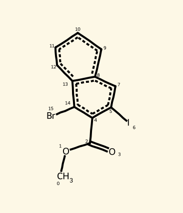 COC(=O)c1c(I)cc2ccccc2c1Br